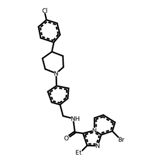 CCc1nc2c(Br)cccn2c1C(=O)NCc1ccc(N2CCC(c3ccc(Cl)cc3)CC2)cc1